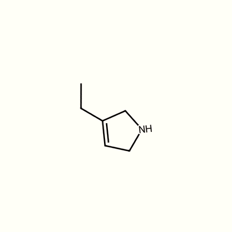 CCC1=CCNC1